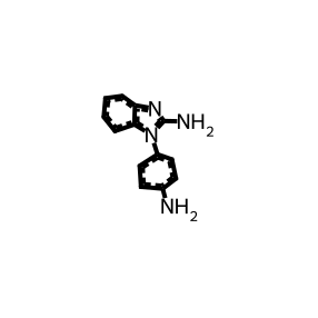 Nc1ccc(-n2c(N)nc3ccccc32)cc1